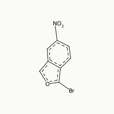 O=[N+]([O-])c1ccc2c(Br)occ2c1